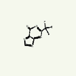 O=C1N=C(C(F)(F)F)N=C2N=CN=C12